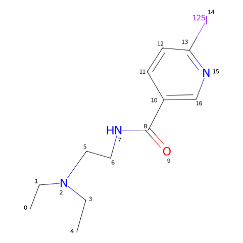 CCN(CC)CCNC(=O)c1ccc([125I])nc1